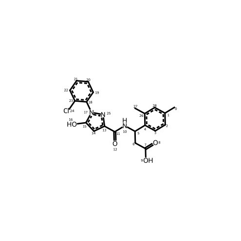 Cc1ccc(C(CC(=O)O)NC(=O)c2cc(O)n(-c3ccccc3Cl)n2)c(C)c1